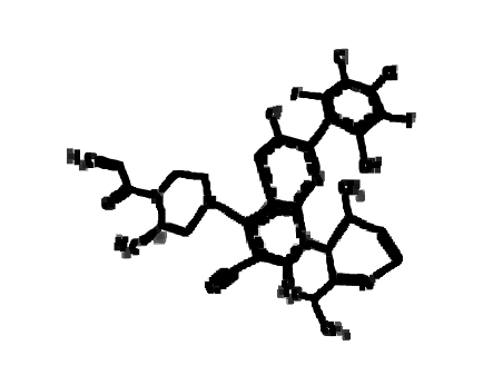 C=CC(=O)N1CCN(c2c(C#N)c(=O)n(C3C(C(C)C)=NC=CC3C)c3nc(-c4c(O)c(F)c(Cl)c(Cl)c4F)c(Cl)cc23)C[C@H]1C